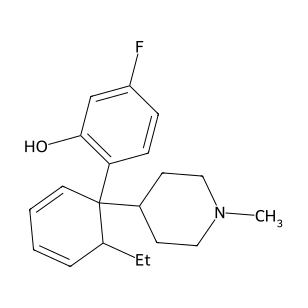 CCC1C=CC=CC1(c1ccc(F)cc1O)C1CCN(C)CC1